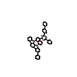 c1ccc(-c2ccc(-c3nc(-c4ccccc4)nc(-c4ccc(-n5c6ccccc6c6ccc7c8cc(-c9ccccc9)ccc8n(-c8ccccc8)c7c65)cc4)n3)cc2)cc1